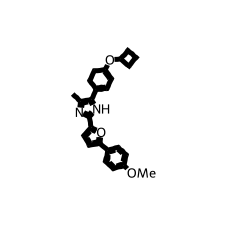 COc1ccc(-c2ccc(-c3nc(C)c(C4=CC=C(OC5CCC5)CC4)[nH]3)o2)cc1